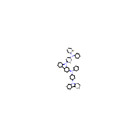 C1=CC2Sc3ccccc3N(C3=CC=C(n4c5ccccc5c5ccc(N(c6ccccc6)c6ccc(-n7c8c(c9ccccc97)CCC=C8)cc6)cc54)CC3)C2C=C1